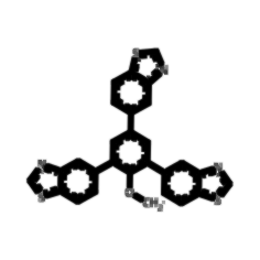 [CH2]Oc1c(-c2ccc3scnc3c2)cc(-c2ccc3scnc3c2)cc1-c1ccc2scnc2c1